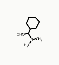 CN(C)C(C=O)[C]1CCCCC1